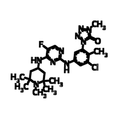 Cc1c(Cl)cc(Nc2ncc(F)c(NC3CC(C)(C)N(C)C(C)(C)C3)n2)cc1-n1nnn(C)c1=O